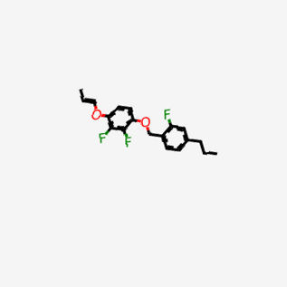 C/C=C/Oc1ccc(OCc2ccc(CCC)cc2F)c(F)c1F